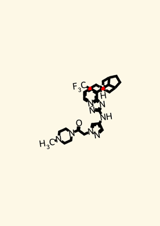 CN1CCN(C(=O)Cn2cc(Nc3nc4c(N5CC6CCC(C5)C6NCCC(F)(F)F)cccn4n3)cn2)CC1